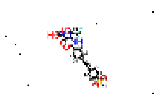 C[C@@](O)(C(F)F)[C@H](NC(=O)c1ccc(C#Cc2ccc(S(C)(=O)=O)cc2)cc1)C(=O)NO